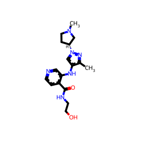 Cc1nn([C@@H]2CCN(C)C2)cc1Nc1cnccc1C(=O)NCCO